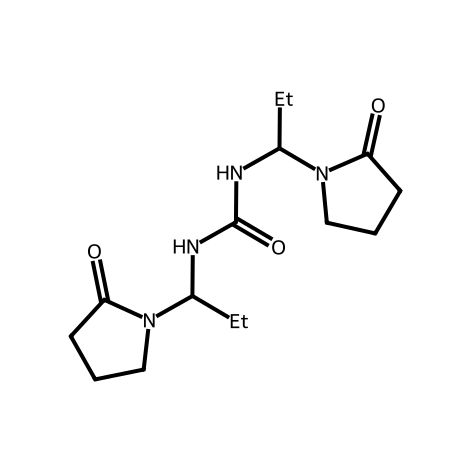 CCC(NC(=O)NC(CC)N1CCCC1=O)N1CCCC1=O